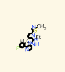 CC/N=C(/c1nc2c(-c3cccc(F)c3)nccc2[nH]1)c1nc(-c2cnc(C)s2)ccc1C